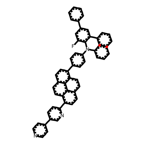 Fc1cc(-c2ccccc2)cc(-c2ccccc2)c1N(c1ccccc1)c1ccc(-c2ccc3ccc4c(-c5ccc(-c6ccncc6)cn5)ccc5ccc2c3c54)cc1